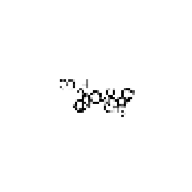 CN(C(=O)C1CCc2ccccc21)[C@@H]1CCc2c(CC(=O)O)c3ccccn3c2C1